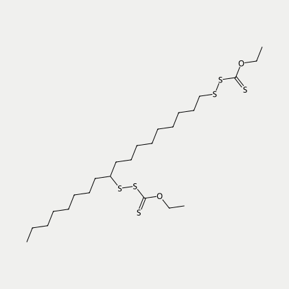 CCCCCCCCC(CCCCCCCCCSSC(=S)OCC)SSC(=S)OCC